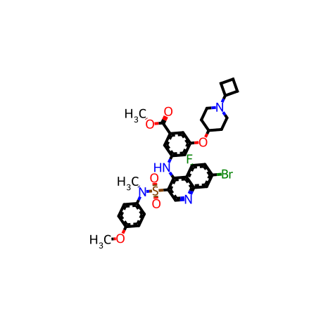 COC(=O)c1cc(Nc2c(S(=O)(=O)N(C)c3ccc(OC)cc3)cnc3cc(Br)cc(F)c23)cc(OC2CCN(C3CCC3)CC2)c1